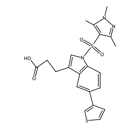 Cc1nn(C)c(C)c1S(=O)(=O)n1cc(CCC(=O)O)c2cc(-c3ccsc3)ccc21